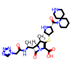 C[C@@H](NC(=O)Cn1cnnn1)[C@H]1C(=O)N2C(C(=O)O)=C(S[C@@H]3CN[C@H](C(=O)N4CCCCC45CCNCC5)C3)[C@H](C)[C@H]12